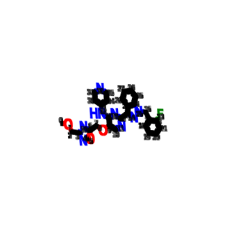 COCc1noc(COc2cnc(-c3nn(Cc4ccccc4F)c4ccccc34)nc2Nc2ccncc2)n1